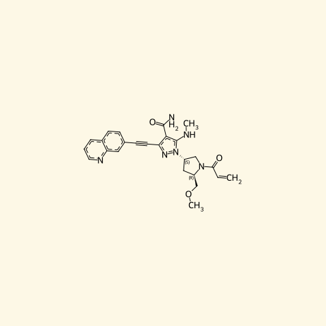 C=CC(=O)N1C[C@@H](n2nc(C#Cc3ccc4cccnc4c3)c(C(N)=O)c2NC)C[C@@H]1COC